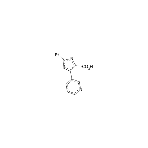 CCn1cc(-c2cccnc2)c(C(=O)O)n1